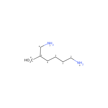 NCCCCC(CN)C(=O)O